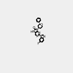 O=c1[nH]c2cnc(-n3cnc4ccc(F)cc43)nc2n1[C@H]1CCO[C@@H](c2ccccc2)C1